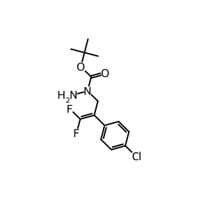 CC(C)(C)OC(=O)N(N)CC(=C(F)F)c1ccc(Cl)cc1